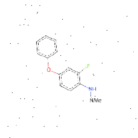 CNNc1ccc(Oc2ccccc2)cc1F